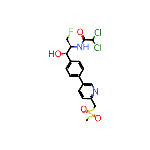 CS(=O)(=O)Cc1ccc(-c2ccc([C@@H](O)[C@@H](CF)NC(=O)C(Cl)Cl)cc2)cn1